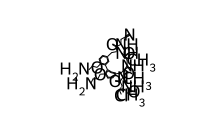 CC[C@H](NC(=O)Cl)C(=O)N(C)[C@@H]1C(=O)N[C@@H](C)C(=O)N[C@H](C(=O)NCC#N)Cc2ccc(OCCN)c(c2)-c2cc1ccc2OCCN